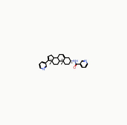 C[C@]12CC[C@H](NC(=O)c3cccnc3)CC1=CCC1C2CC[C@]2(C)C(c3cccnc3)=CCC12